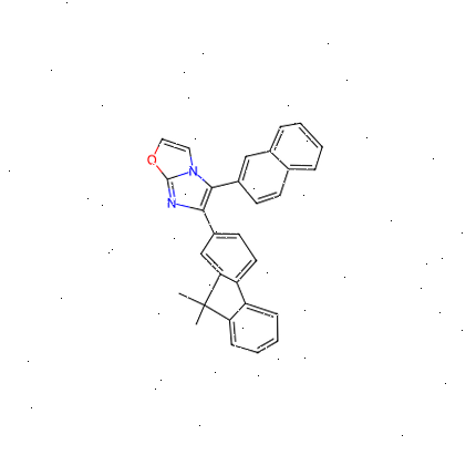 CC1(C)c2ccccc2-c2ccc(-c3nc4occn4c3-c3ccc4ccccc4c3)cc21